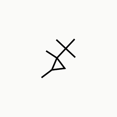 C[C]1CC1(C)C(C)(C)C